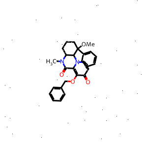 COC1(c2ccccc2)CCCC2C1n1ccc(=O)c(OCc3ccccc3)c1C(=O)N2C